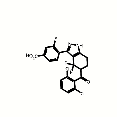 O=C(O)c1ccc(-c2n[nH]c3c2C(F)(F)C(C(=O)c2c(Cl)cccc2Cl)CC3)c(F)c1